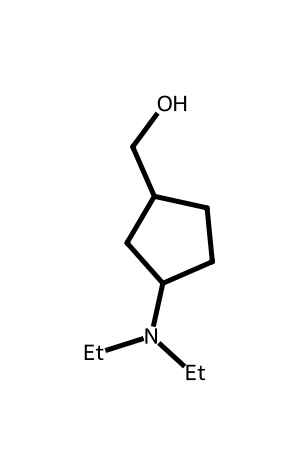 CCN(CC)C1CCC(CO)C1